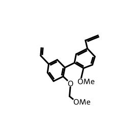 C=Cc1ccc(OC)c(-c2cc(C=C)ccc2OCOC)c1